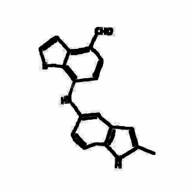 Cc1cc2cc(Nc3ccc(C=O)c4ccsc34)ccc2[nH]1